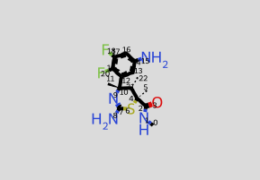 CNC(=O)[C@@]1(C)SC(N)=N[C@](C)(c2cc(N)cc(F)c2F)[C@@H]1C